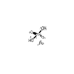 O=[Te](=O)(O)O.[Eu]